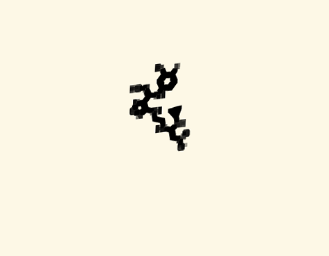 O=[N+]([O-])C=C(NCCNc1nonc1C(=NO)Nc1ccc(F)c(Br)c1)NC1CC1